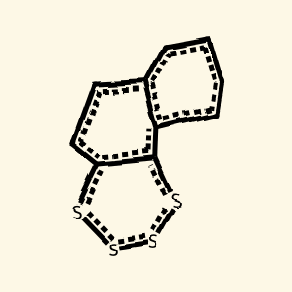 c1ccc2c(c1)ccc1ssssc12